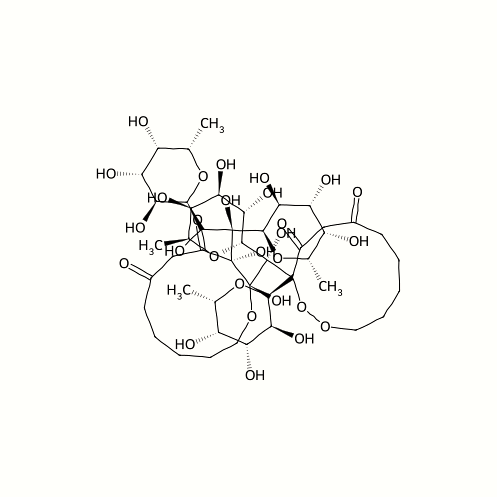 C[C@@H]1O[C@@H](C2([C@](O)([C@@H]3O[C@@H](C)[C@@H](O)[C@@H](O)[C@@H]3O)[C@]3(O)OCCCCCC(=O)CC(=O)[C@@]3(O)[C@](O)(C(O)[C@@H]3O[C@@H](C)[C@@H](O)[C@@H](O)[C@@H]3O)[C@@H]3O[C@@H](C)[C@@H](O)[C@@H](O)[C@@H]3O)OOCCCCCC(=O)CC2=O)[C@@H](O)[C@H](O)[C@@H]1O